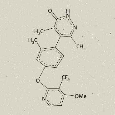 COc1ccnc(Oc2ccc(-c3c(C)n[nH]c(=O)c3C)c(C)c2)c1C(F)(F)F